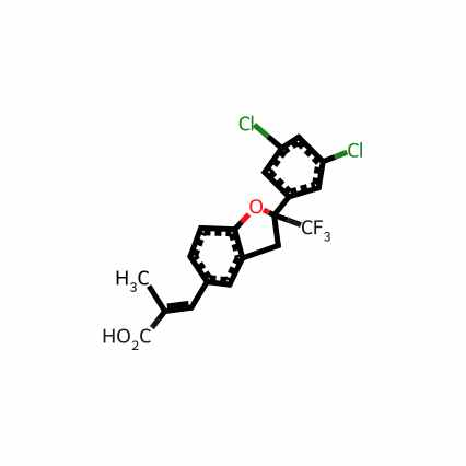 CC(=Cc1ccc2c(c1)CC(c1cc(Cl)cc(Cl)c1)(C(F)(F)F)O2)C(=O)O